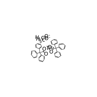 C[O-].C[O-].O=C([O][Ti+2][O]C(=O)C(c1ccccc1)(c1ccccc1)c1ccccc1)C(c1ccccc1)(c1ccccc1)c1ccccc1